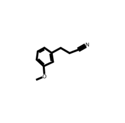 COc1cccc(CCC#N)c1